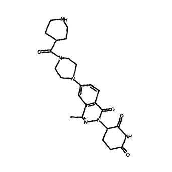 Cc1nn(C2CCC(=O)NC2=O)c(=O)c2ccc(N3CCN(C(=O)C4CCNCC4)CC3)cc12